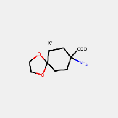 NC1(C(=O)[O-])CCC2(CC1)OCCO2.[K+]